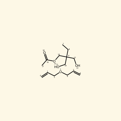 C=CCOCC=C.CCC(CO)(CO)COC(C)=O